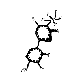 CCCc1ccc(-c2cc(F)c(S(F)(F)(F)(F)F)c(F)c2)c(F)c1F